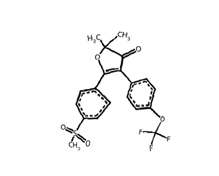 CC1(C)OC(c2ccc(S(C)(=O)=O)cc2)=C(c2ccc(OC(F)(F)F)cc2)C1=O